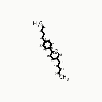 CCCCCc1ccc(C2CCC(CCCCC)CO2)cc1